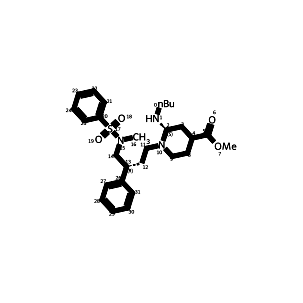 CCCCN[C@@H]1CC(C(=O)OC)CCN1CC[C@@H](CN(C)S(=O)(=O)c1ccccc1)c1ccccc1